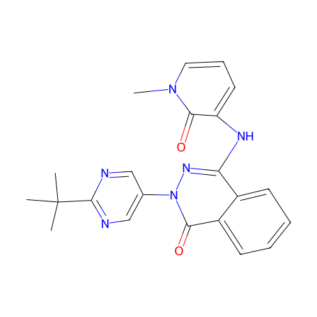 Cn1cccc(Nc2nn(-c3cnc(C(C)(C)C)nc3)c(=O)c3ccccc23)c1=O